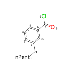 CCCCCCc1cccc(C(=O)Cl)c1